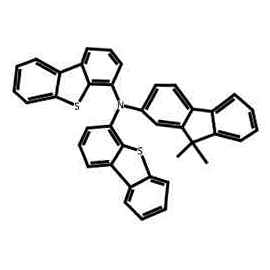 CC1(C)c2ccccc2-c2ccc(N(c3cccc4c3sc3ccccc34)c3cccc4c3sc3ccccc34)cc21